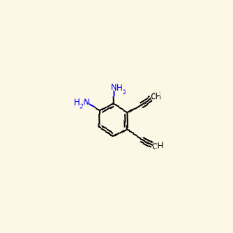 C#Cc1ccc(N)c(N)c1C#C